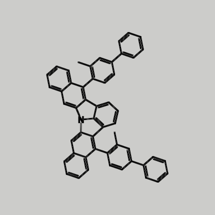 Cc1cc(-c2ccccc2)ccc1-c1c2ccccc2cc2c1c1cccc3c4c(-c5ccc(-c6ccccc6)cc5C)c5ccccc5cc4n2c13